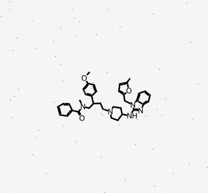 COc1ccc(C(CCN2CCC(Nc3nc4ccccc4n3Cc3ccc(C)o3)CC2)CN(C)C(=O)c2ccccc2)cc1